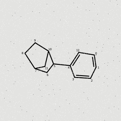 [c]1cccc(C2CC3CCC2C3)c1